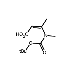 CC(=CC(=O)O)N(C)C(=O)OC(C)(C)C